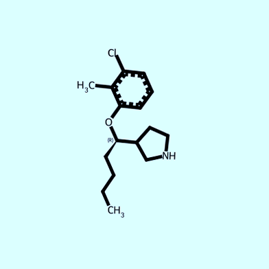 CCCC[C@@H](Oc1cccc(Cl)c1C)C1CCNC1